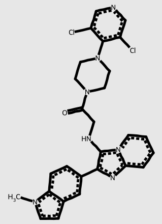 Cn1ccc2cc(-c3nc4ccccn4c3NCC(=O)N3CCN(c4c(Cl)cncc4Cl)CC3)ccc21